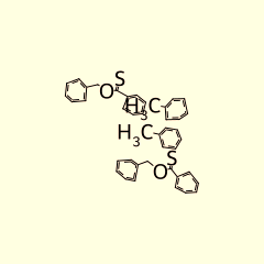 Cc1ccccc1.Cc1ccccc1.S=C(OCc1ccccc1)c1ccccc1.S=C(OCc1ccccc1)c1ccccc1